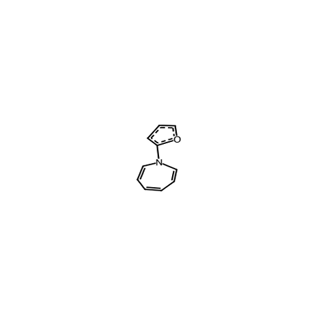 C1=CC=CN(c2ccco2)C=C1